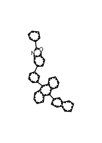 c1ccc(-c2nc3cc(-c4cccc(-c5c6ccccc6c(-c6ccc7ccccc7c6)c6ccccc56)c4)ccc3o2)cc1